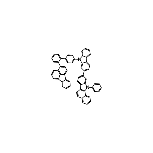 c1ccc(-n2c3cc(-c4ccc5c6ccccc6n(-c6ccc(-c7ccccc7-c7ccc8c9c(cccc79)-c7ccccc7-8)cc6)c5c4)ccc3c3ccc4ccccc4c32)cc1